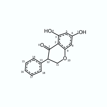 O=C1c2c(O)cc(O)cc2OCC1c1ccccc1